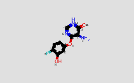 Nc1c(Oc2ccc(F)c(O)c2)nc[nH]c1=O